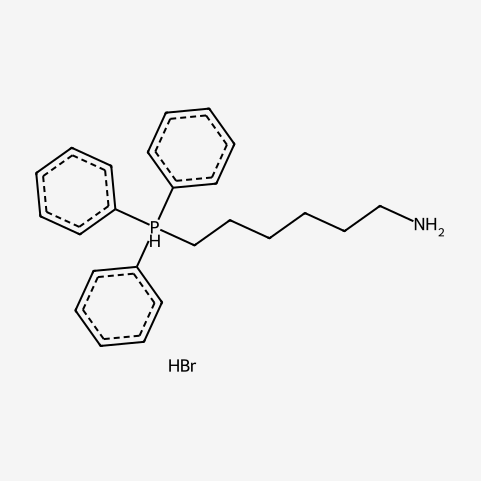 Br.NCCCCCC[PH](c1ccccc1)(c1ccccc1)c1ccccc1